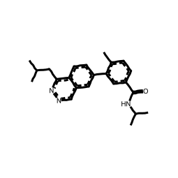 Cc1ccc(C(=O)NC(C)C)cc1-c1ccc2c(CC(C)C)nncc2c1